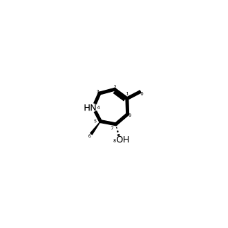 CC1=CCN[C@H](C)[C@@H](O)C1